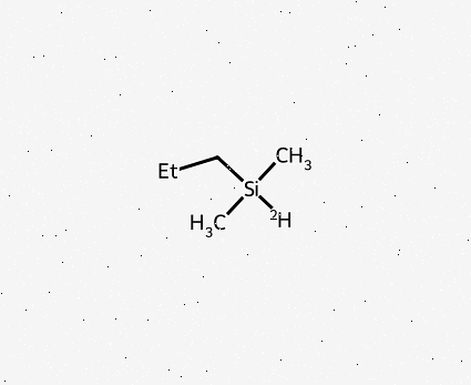 [2H][Si](C)(C)CCC